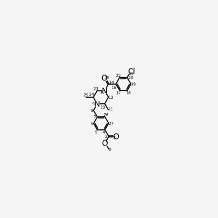 COC(=O)c1ccc(CN2C(C)CN(C(=O)c3cccc(Cl)c3)CC2C)cc1